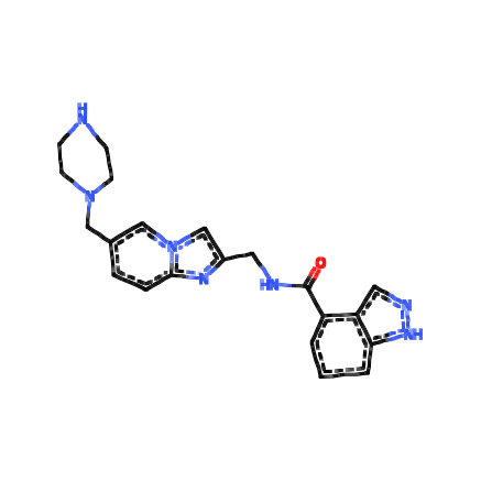 O=C(NCc1cn2cc(CN3CCNCC3)ccc2n1)c1cccc2[nH]ncc12